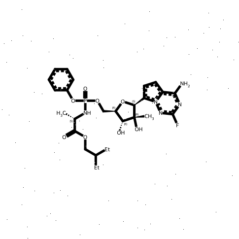 CCC(CC)COC(=O)[C@H](C)NP(=O)(OC[C@H]1O[C@@H](c2ccc3c(N)nc(F)nn23)[C@](C)(O)[C@@H]1O)Oc1ccccc1